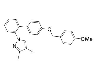 COc1ccc(COc2ccc(-c3ccccc3-n3cc(C)c(C)n3)cc2)cc1